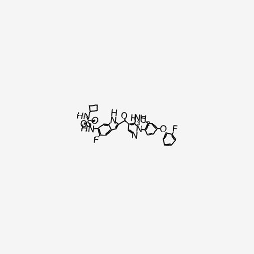 Cc1cc(Oc2ccccc2F)ccc1-n1ncc(C(=O)c2cc3cc(F)c(NS(=O)(=O)NC4CCC4)cc3[nH]2)c1N